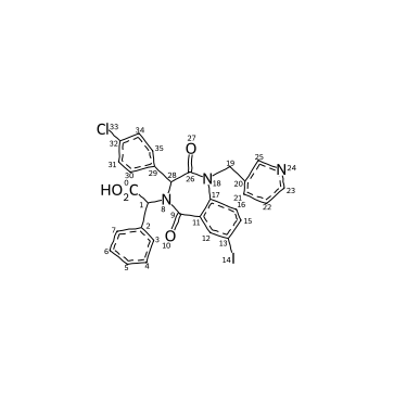 O=C(O)C(c1ccccc1)N1C(=O)c2cc(I)ccc2N(Cc2cccnc2)C(=O)C1c1ccc(Cl)cc1